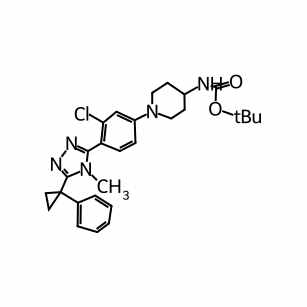 Cn1c(-c2ccc(N3CCC(NC(=O)OC(C)(C)C)CC3)cc2Cl)nnc1C1(c2ccccc2)CC1